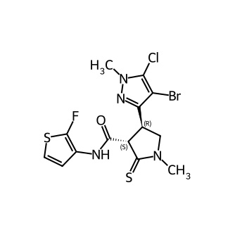 CN1C[C@H](c2nn(C)c(Cl)c2Br)[C@@H](C(=O)Nc2ccsc2F)C1=S